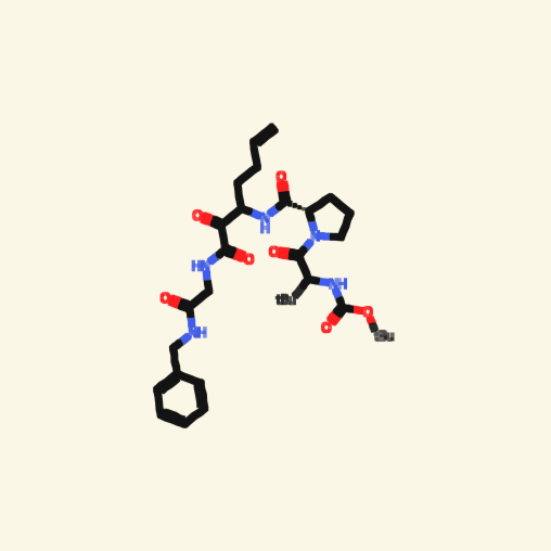 C=CCCC(NC(=O)[C@@H]1CCCN1C(=O)C(NC(=O)OC(C)(C)C)C(C)(C)C)C(=O)C(=O)NCC(=O)NCc1ccccc1